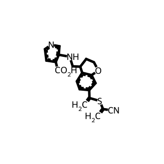 C=C(C#N)SC(=C)c1ccc2c(c1)OCCC2CNc1cnccc1C(=O)O